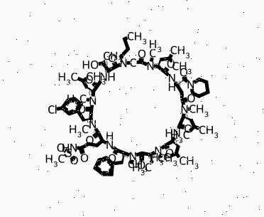 CCCCN1CC(=O)N(C)[C@@H](CC(C)C)C(=O)N[C@H](C(=O)N2CCCCC2)CC(=O)N(C)[C@@H](CC(C)C)C(=O)N[C@@H](CC(C)C)C(=O)N(C)[C@@H](CC)C(=O)N(C)[C@@H](Cc2ccccc2)C(=O)NC(CCC(=O)NS(C)(=O)=O)C(=O)N(C)[C@@H](Cc2cccc(Cl)c2)C(=O)N(C)[C@@H](CC(C)C)C(=O)N[C@@H]([C@@H](C)O)C1=O